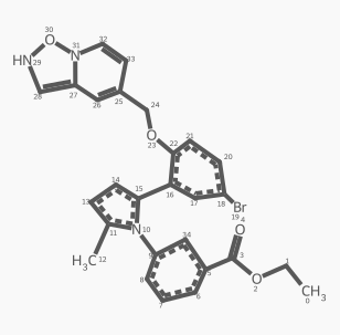 CCOC(=O)c1cccc(-n2c(C)ccc2-c2cc(Br)ccc2OCC2=CC3=CNON3C=C2)c1